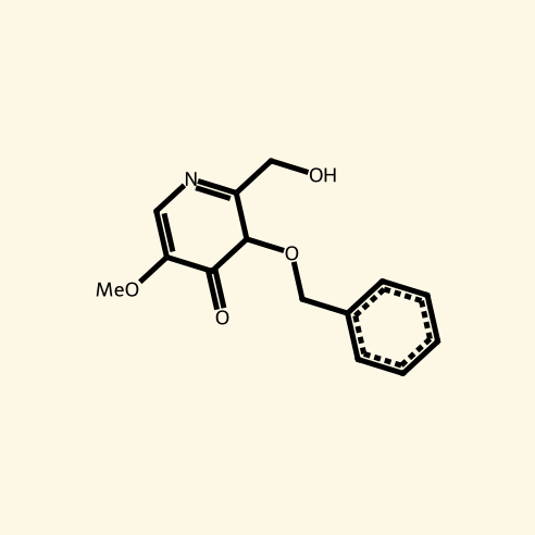 COC1=CN=C(CO)C(OCc2ccccc2)C1=O